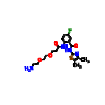 Cc1nc(NC(=O)c2cc(F)ccc2NC(=O)CCOCCOCCN)sc1C